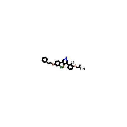 CCc1c(SCC(C)C#N)cccc1-c1cn(C)cc(-c2ccc(SCCc3ccccc3)cc2Br)c1=S